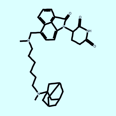 CN(CCCCCCN(C)C12CC3CC(CC(C3)C1)C2)Cc1ccc2c3c(cccc13)C(=O)N2C1CCC(=O)NC1=O